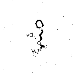 Cl.NC(=O)OCCCN1CCCCC1